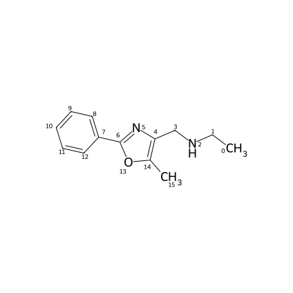 CCNCc1nc(-c2ccccc2)oc1C